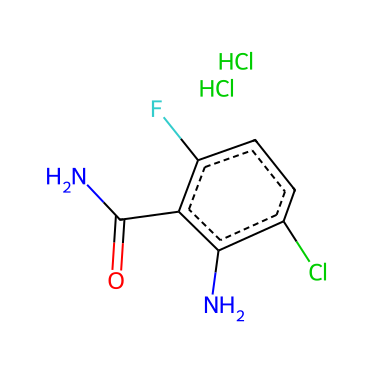 Cl.Cl.NC(=O)c1c(F)ccc(Cl)c1N